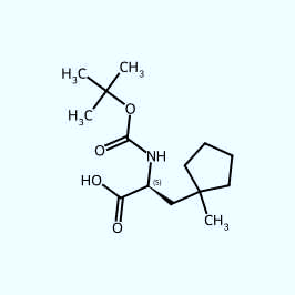 CC1(C[C@H](NC(=O)OC(C)(C)C)C(=O)O)CCCC1